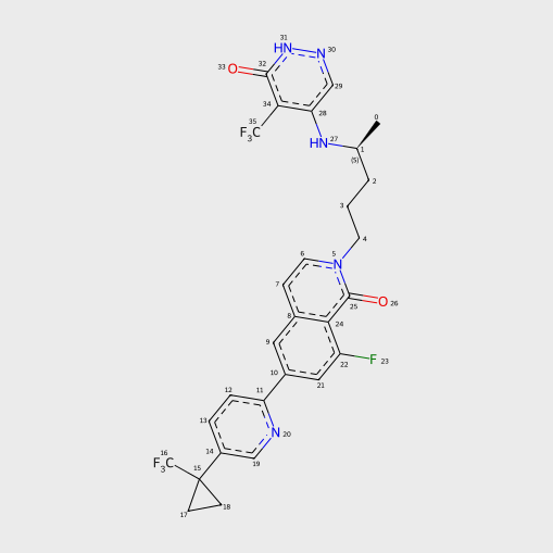 C[C@@H](CCCn1ccc2cc(-c3ccc(C4(C(F)(F)F)CC4)cn3)cc(F)c2c1=O)Nc1cn[nH]c(=O)c1C(F)(F)F